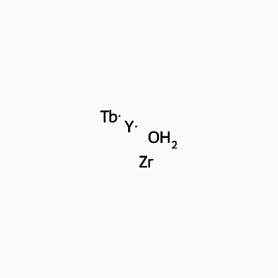 O.[Tb].[Y].[Zr]